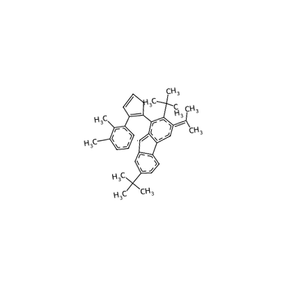 CC(C)=c1cc2c(c(C3=C(c4cccc(C)c4C)C=CC3)c1C(C)(C)C)=[C]c1cc(C(C)(C)C)ccc1-2